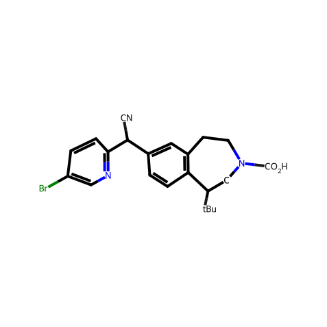 CC(C)(C)C1CN(C(=O)O)CCc2cc(C(C#N)c3ccc(Br)cn3)ccc21